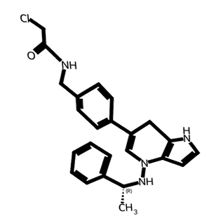 C[C@@H](NN1C=C(c2ccc(CNC(=O)CCl)cc2)Cc2[nH]ccc21)c1ccccc1